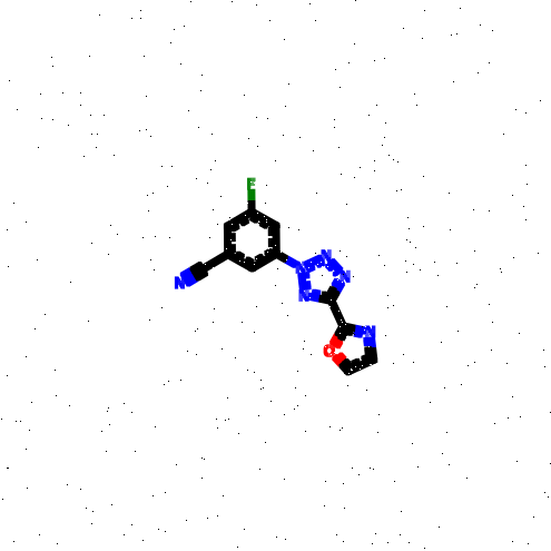 N#Cc1cc(F)cc(-n2nnc(-c3ncco3)n2)c1